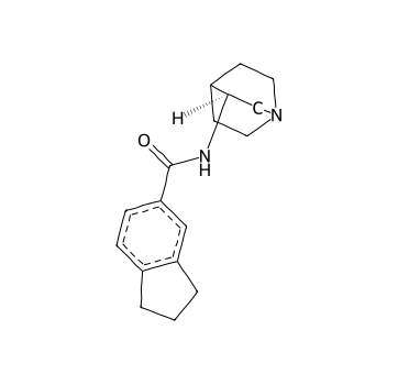 O=C(N[C@@H]1CN2CCC1CC2)c1ccc2c(c1)CCC2